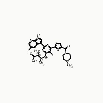 C[C@H](Nc1nc(-c2c[nH]c3ncc(F)cc23)nc(-c2ccc(C(=O)N3CCN(C)CC3)s2)c1F)[C@H](C)C(=O)O